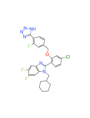 Fc1cc2nc(-c3ccc(Cl)cc3OCc3ccc(-c4nnn[nH]4)c(F)c3)n(CC3CCCCC3)c2cc1F